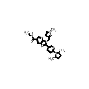 CCNC(=O)c1cnc2c(c1)nc(-c1ccc(N3[C@@H](C)CC[C@@H]3C)nc1)n2Cc1ccn(C)n1